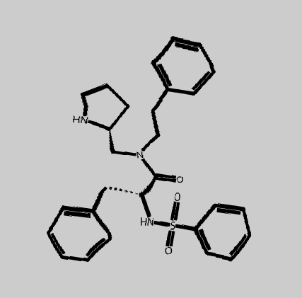 O=C([C@@H](Cc1ccccc1)NS(=O)(=O)c1ccccc1)N(CCc1ccccc1)C[C@@H]1CCCN1